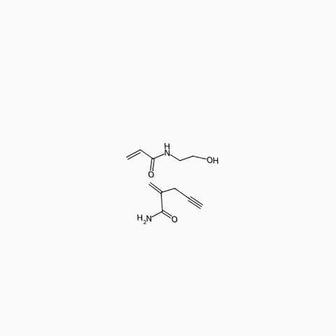 C#CCC(=C)C(N)=O.C=CC(=O)NCCO